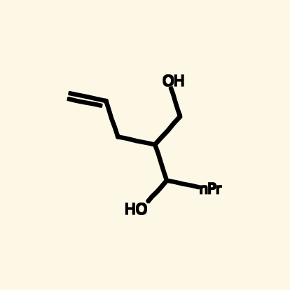 C=CCC(CO)C(O)CCC